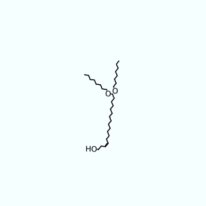 CCCCCCCCOC(CCCCCCCCCCCC/C=C\CCO)OCCCCCCCC